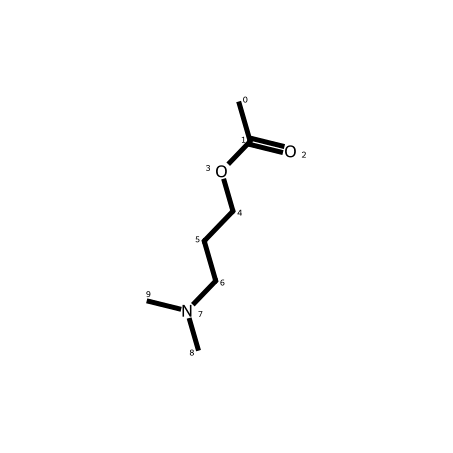 CC(=O)OCCCN(C)C